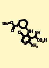 CC(C)(C)OC(=O)N1CCC[C@@H](Nc2c(Cl)cnc(N)c2C(=N)C(=O)O)C1